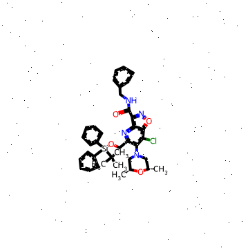 C[C@@H]1CN(c2c(CO[Si](c3ccccc3)(c3ccccc3)C(C)(C)C)nc3c(C(=O)NCc4ccccc4)noc3c2Cl)C[C@H](C)O1